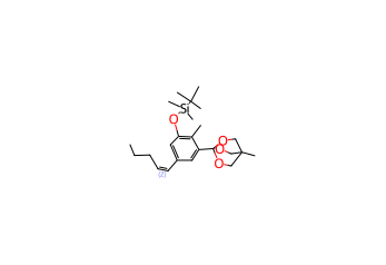 CCC/C=C\c1cc(O[Si](C)(C)C(C)(C)C)c(C)c(C23OCC(C)(CO2)CO3)c1